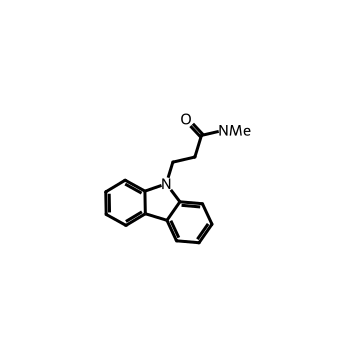 CNC(=O)CCn1c2ccccc2c2ccccc21